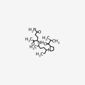 CCC(CCC(C)NC(CCC(N)=O)C(C)=O)N1CCCC1C(=O)C(C)C